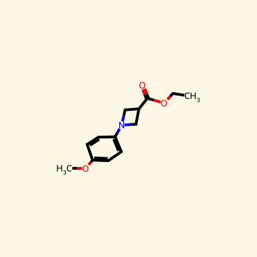 CCOC(=O)C1CN(c2ccc(OC)cc2)C1